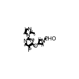 Cc1nccn1-c1ncc(F)c(OC2CN(C=O)C2)n1